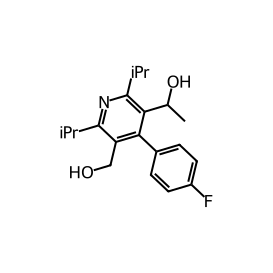 CC(C)c1nc(C(C)C)c(C(C)O)c(-c2ccc(F)cc2)c1CO